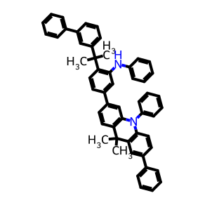 CC(C)(c1cccc(-c2ccccc2)c1)c1ccc(-c2ccc3c(c2)N(c2ccccc2)c2ccc(-c4ccccc4)cc2C3(C)C)cc1Nc1ccccc1